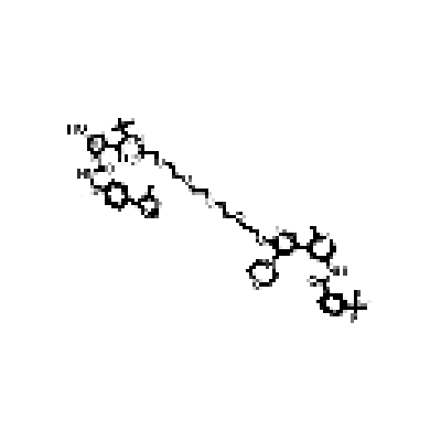 Cc1ncc(NC(=O)c2cccc(C(F)(F)F)c2)cc1-c1cnc(OCCOCCOCCOCCOCC(=O)N[C@@H](C(=O)C2C[C@H](O)C[C@H]2C(=O)N[C@@H](C)c2ccc(-c3scnc3C)cc2)C(C)(C)C)c(N2CCOCC2)c1